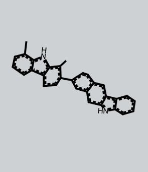 Cc1cccc2c1[nH]c1c(C)c(-c3ccc4cc5c(cc4c3)[nH]c3ccccc35)ccc12